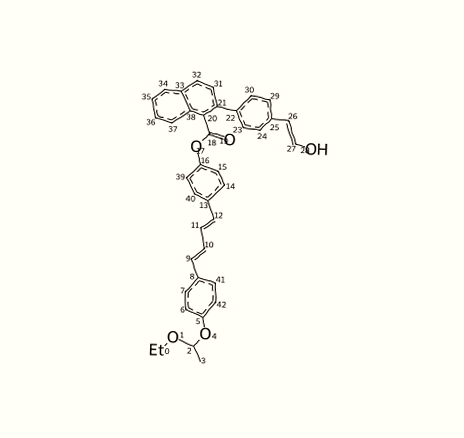 CCOC(C)Oc1ccc(C=CC=Cc2ccc(OC(=O)c3c(-c4ccc(C=CO)cc4)ccc4ccccc34)cc2)cc1